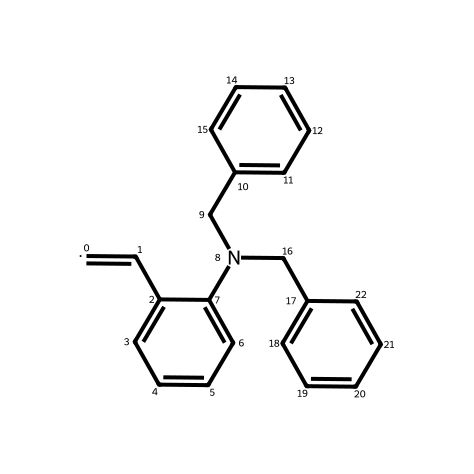 [CH]=Cc1ccccc1N(Cc1ccccc1)Cc1ccccc1